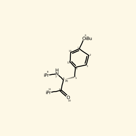 CC(C)COc1ccc(C[C@@H](NC(C)C)C(=O)C(C)C)cc1